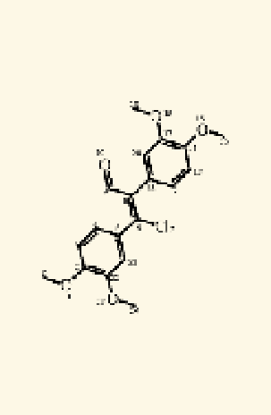 COc1ccc(/C(Cl)=C(\C=O)c2ccc(OC)c(OC)c2)cc1OC